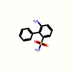 Nc1cccc(S(N)(=O)=O)c1-c1ccccc1